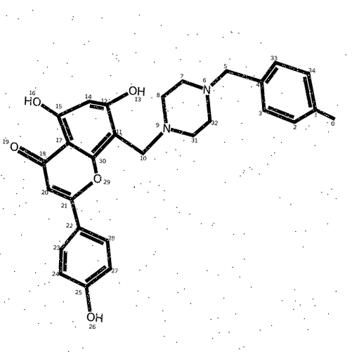 Cc1ccc(CN2CCN(Cc3c(O)cc(O)c4c(=O)cc(-c5ccc(O)cc5)oc34)CC2)cc1